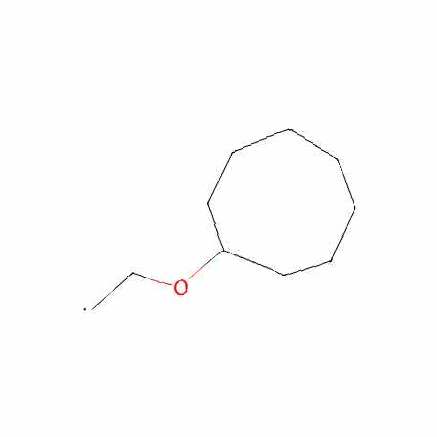 [CH2]COC1CCCCCCC1